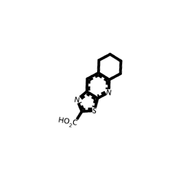 O=C(O)c1nc2cc3c(nc2s1)CCCC3